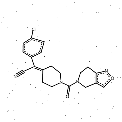 N#CC(=C1CCN(C(=O)N2CCc3nocc3C2)CC1)c1ccc(Cl)cc1